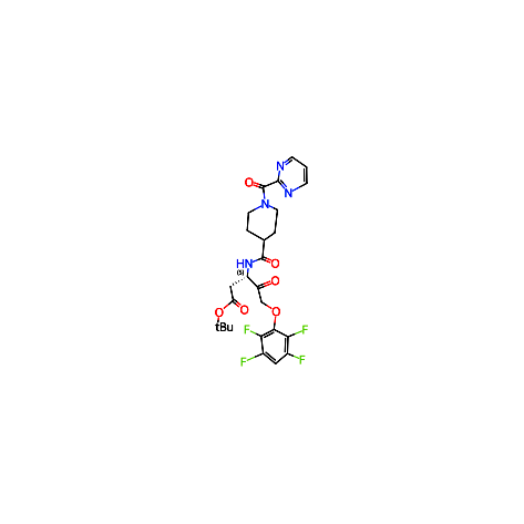 CC(C)(C)OC(=O)C[C@H](NC(=O)C1CCN(C(=O)c2ncccn2)CC1)C(=O)COc1c(F)c(F)cc(F)c1F